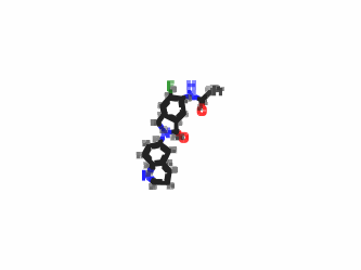 CC(C)C(=O)Nc1cc2c(cc1F)CN(c1ccc3ncccc3c1)C2=O